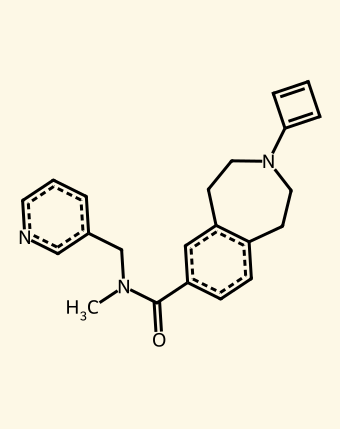 CN(Cc1cccnc1)C(=O)c1ccc2c(c1)CCN(C1=CC=C1)CC2